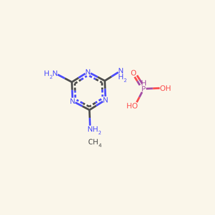 C.Nc1nc(N)nc(N)n1.O=[PH](O)O